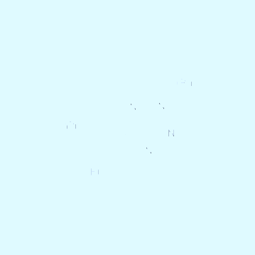 CCCC(CC)c1nnn(C(C)(C)C)n1